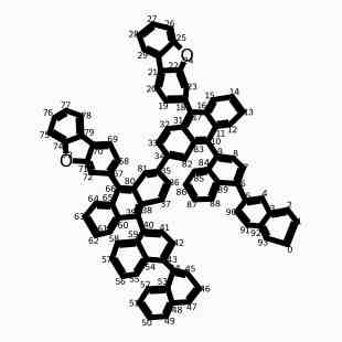 c1ccc2cc(-c3ccc(-c4c5ccccc5c(-c5ccc6c(c5)oc5ccccc56)c5ccc(-c6ccc7c(-c8ccc(-c9cccc%10ccccc9%10)c9ccccc89)c8ccccc8c(-c8ccc9c(c8)oc8ccccc89)c7c6)cc45)c4ccccc34)ccc2c1